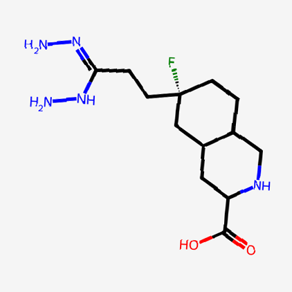 N/N=C(/CC[C@@]1(F)CCC2CNC(C(=O)O)CC2C1)NN